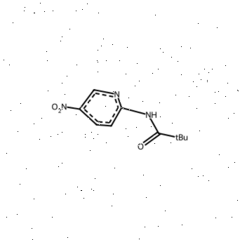 CC(C)(C)C(=O)Nc1ccc([N+](=O)[O-])cn1